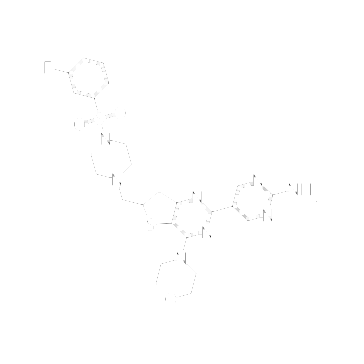 Nc1ncc(-c2nc3c(c(N4CCOCC4)n2)SC(CN2CCN(S(=O)(=O)c4cccc(F)c4)CC2)C3)cn1